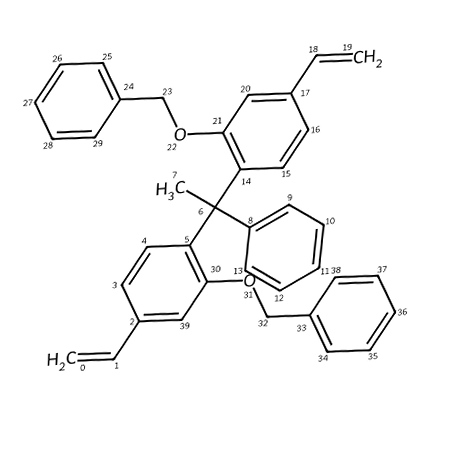 C=Cc1ccc(C(C)(c2ccccc2)c2ccc(C=C)cc2OCc2ccccc2)c(OCc2ccccc2)c1